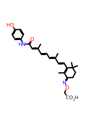 CC1=C(/C=C/C(C)=C/C=C/C(C)=C/C(=O)Nc2ccc(O)cc2)C(C)(C)CC/C1=N\OCC(=O)O